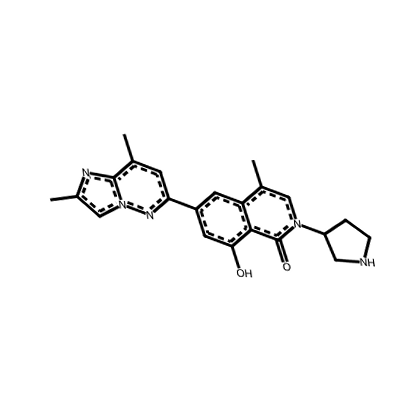 Cc1cn2nc(-c3cc(O)c4c(=O)n(C5CCNC5)cc(C)c4c3)cc(C)c2n1